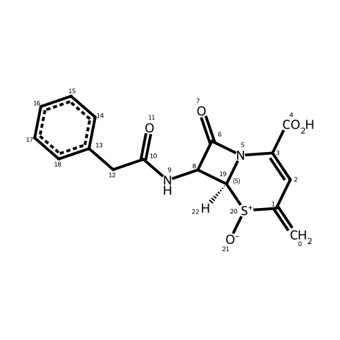 C=C1C=C(C(=O)O)N2C(=O)C(NC(=O)Cc3ccccc3)[C@@H]2[S+]1[O-]